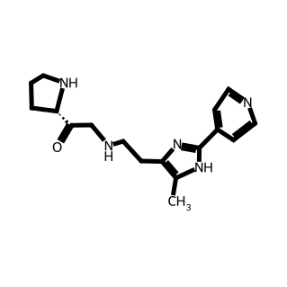 Cc1[nH]c(-c2ccncc2)nc1CCNCC(=O)[C@@H]1CCCN1